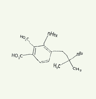 CCCCCCc1c(CC(C)(C)CCCC)ccc(C(=O)O)c1C(=O)O